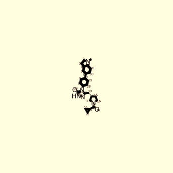 Cn1ccc2cc(-c3ccc(-n4c(C[C@@H]5CCN(C(=O)C6CC6)C5)n[nH]c4=O)cc3)ccc21